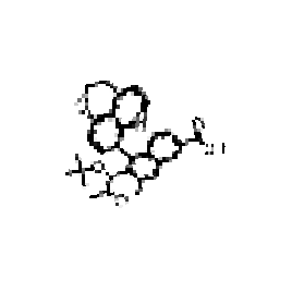 CC(=O)C(OC(C)(C)C)c1c(C)cc2cc(C(=O)O)ccc2c1-c1ccc2c3c(ccnc13)CCO2